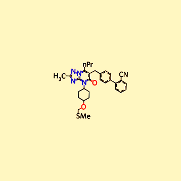 CCCc1c(Cc2ccc(-c3ccccc3C#N)cc2)c(=O)n(C2CCC(OCSC)CC2)c2nc(C)nn12